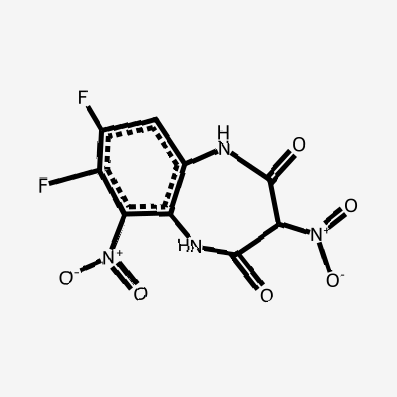 O=C1Nc2cc(F)c(F)c([N+](=O)[O-])c2NC(=O)C1[N+](=O)[O-]